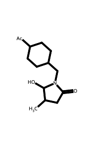 CC(=O)C1CCC(CN2C(=O)CC(C)C2O)CC1